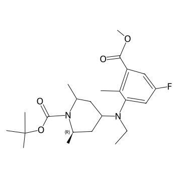 CCN(c1cc(F)cc(C(=O)OC)c1C)C1CC(C)N(C(=O)OC(C)(C)C)[C@H](C)C1